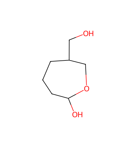 OCC1CCCC(O)OC1